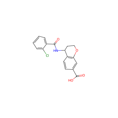 O=C(O)c1ccc2c(c1)OCCC2NC(=O)c1ccccc1Cl